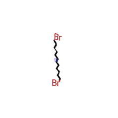 BrCCCCC/C=C/CCCCCBr